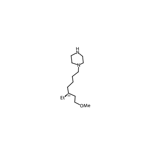 CC[C@@H](CCCCN1CCNCC1)CCOC